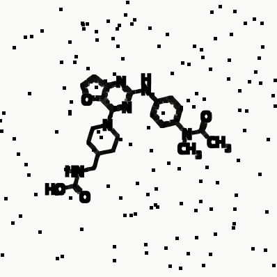 CC(=O)N(C)c1ccc(Nc2nc(N3CCC(CNC(=O)O)CC3)c3occc3n2)cc1